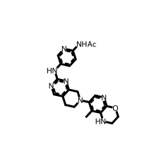 CC(=O)Nc1ccc(Nc2ncc3c(n2)CN(c2cnc4c(c2C)NCCO4)CC3)cn1